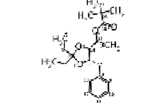 CCC1(CC)O[C@@H](Cc2ccccc2)[C@H](C(C)OC(=O)C(C)(C)C)O1